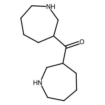 O=C(C1CCCCNC1)C1CCCCNC1